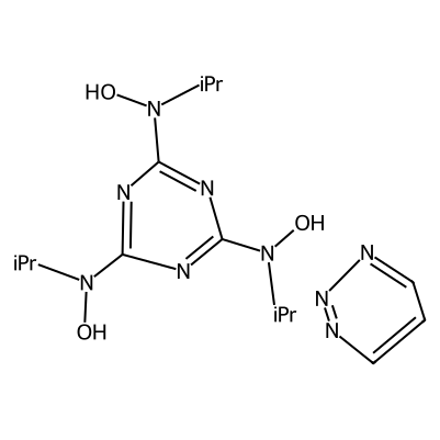 CC(C)N(O)c1nc(N(O)C(C)C)nc(N(O)C(C)C)n1.c1cnnnc1